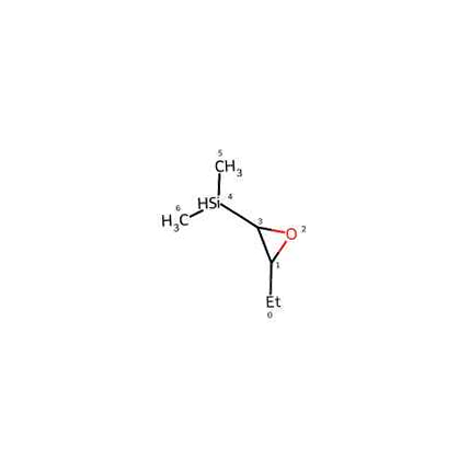 CCC1OC1[SiH](C)C